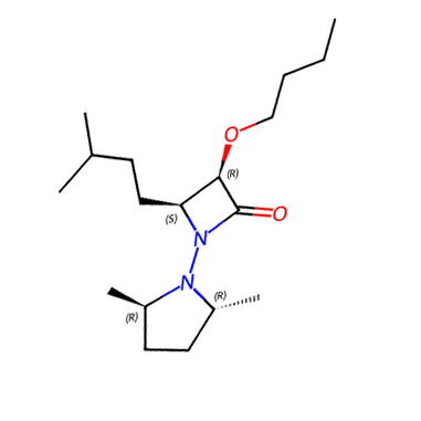 CCCCO[C@H]1C(=O)N(N2[C@H](C)CC[C@H]2C)[C@H]1CCC(C)C